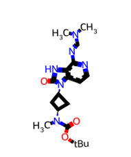 CN(C)/C=N/c1nccc2c1[nH]c(=O)n2[C@H]1C[C@@H](N(C)C(=O)OC(C)(C)C)C1